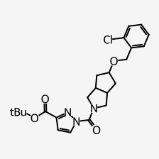 CC(C)(C)OC(=O)c1ccn(C(=O)N2CC3CC(OCc4ccccc4Cl)CC3C2)n1